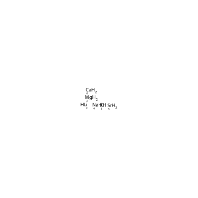 [CaH2].[KH].[LiH].[MgH2].[NaH].[SrH2]